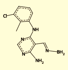 B/N=C/c1c(N)ncnc1Nc1cccc(Cl)c1C